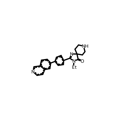 CCN1C(=O)C2(CCNCC2)N=C1c1ccc(-c2ccc3cnccc3c2)cc1